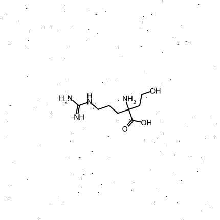 N=C(N)NCCCC(N)(CCO)C(=O)O